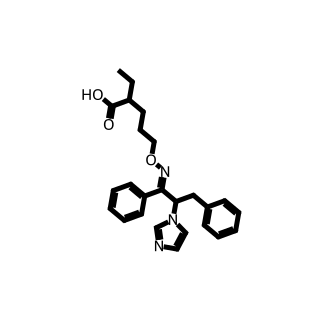 CCC(CCCO/N=C(\c1ccccc1)C(Cc1ccccc1)n1ccnc1)C(=O)O